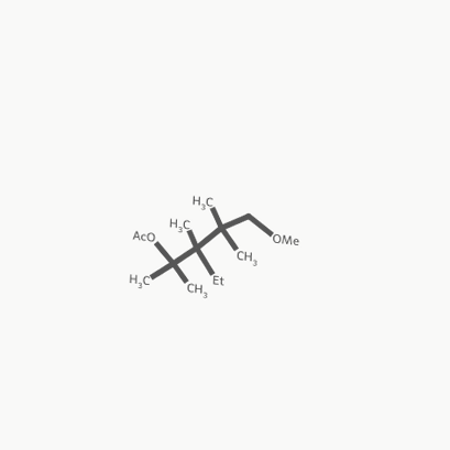 CCC(C)(C(C)(C)COC)C(C)(C)OC(C)=O